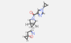 O=C(c1cn(C2CC2)cn1)N1C[C@@H]2[C@H](C1)[C@H]2C1=NOC2(CC2)C1